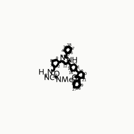 CNC(C#N)OC(N)C1=CC=CC(C2=CC(C3C=CC(C4CC=Cc5c4oc4ccccc54)=CC3)NC(c3ccccc3)=N2)C1